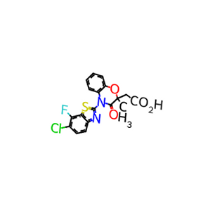 CC1(CC(=O)O)Oc2ccccc2N(c2nc3ccc(Cl)c(F)c3s2)C1=O